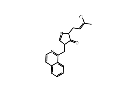 C/C(Cl)=C/CC1N=CC(Cc2nccc3ccccc23)C1=O